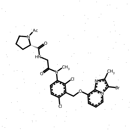 CC(=O)N1CCC[C@H]1C(=O)NCC(=O)N(C)c1ccc(Cl)c(COc2cccn3c(Br)c(C)nc23)c1Cl